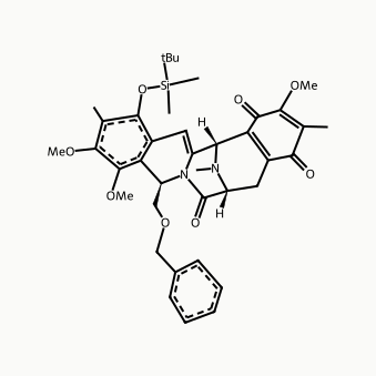 COC1=C(C)C(=O)C2=C(C1=O)[C@H]1C3=Cc4c(O[Si](C)(C)C(C)(C)C)c(C)c(OC)c(OC)c4[C@H](COCc4ccccc4)N3C(=O)[C@@H](C2)N1C